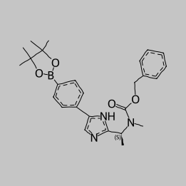 C[C@@H](c1ncc(-c2ccc(B3OC(C)(C)C(C)(C)O3)cc2)[nH]1)N(C)C(=O)OCc1ccccc1